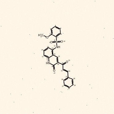 COc1ccccc1S(=O)(=O)Nc1cccc2[nH]c(=O)c(C(=O)C=Cc3ccccc3)cc12